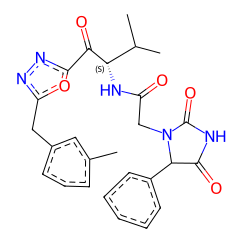 Cc1cccc(Cc2nnc(C(=O)[C@@H](NC(=O)CN3C(=O)NC(=O)C3c3ccccc3)C(C)C)o2)c1